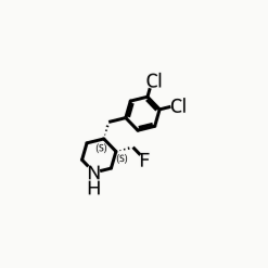 FC[C@@H]1CNCC[C@@H]1Cc1ccc(Cl)c(Cl)c1